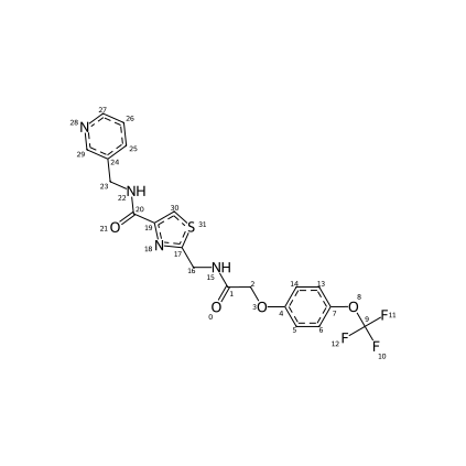 O=C(COc1ccc(OC(F)(F)F)cc1)NCc1nc(C(=O)NCc2cccnc2)cs1